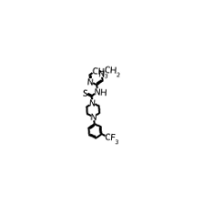 C=N/C=C(\N=C/C)NC(=S)N1CCN(c2cccc(C(F)(F)F)c2)CC1